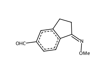 CO/N=C1/CCc2cc(C=O)ccc21